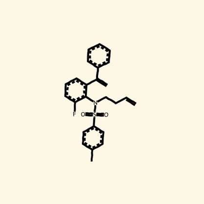 C=CCCN(c1c(F)cccc1C(=C)c1ccccc1)S(=O)(=O)c1ccc(C)cc1